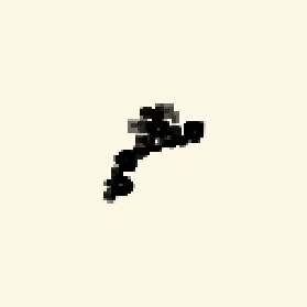 Cn1c(Oc2ccc(OCC(O)CNCC(Cc3ccccc3)Oc3ccc(O)c(C(N)=O)c3)cc2)cccc1=O